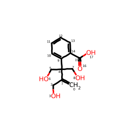 C=C(CO)C(CO)(CO)c1ccccc1C(=O)O